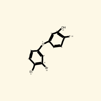 CCc1ccc(Oc2ccc(F)c(O)c2)cc1Br